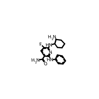 NC(=O)c1cc(F)c(NC2CCCCC2N)nc1Nc1ccccc1